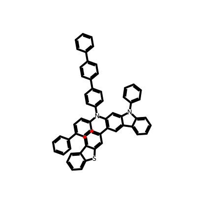 c1ccc(-c2ccc(-c3ccc(N(c4ccc(-c5ccccc5)cc4)c4cc5c(cc4-c4ccc6c(c4)sc4ccccc46)c4ccccc4n5-c4ccccc4)cc3)cc2)cc1